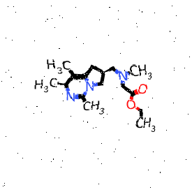 CCOC(=O)CN(C)C[C@@H]1CC2=C(C)[C@H](C)N=C(C)N2C1